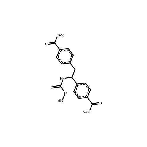 COC(=O)c1ccc(CC(NC(=O)OC(C)(C)C)c2ccc(C(=O)OC)cc2)cc1